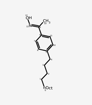 CCCCCCCCCCCCc1ccc(C(C)=NO)cc1